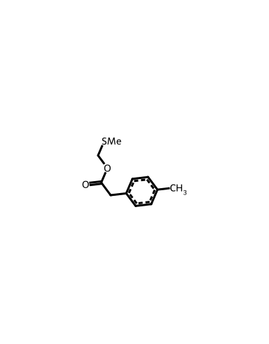 CSCOC(=O)Cc1ccc(C)cc1